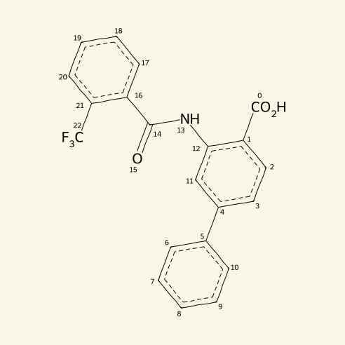 O=C(O)c1ccc(-c2ccccc2)cc1NC(=O)c1ccccc1C(F)(F)F